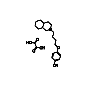 N#Cc1ccc(OCCCCN2CCC3CCCCC3C2)cc1.O=C(O)C(=O)O